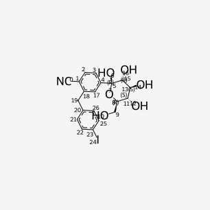 N#Cc1ccc([C@@]2(O)O[C@H](CO)[C@@H](O)[C@H](O)[C@H]2O)cc1Cc1ccc(I)cc1